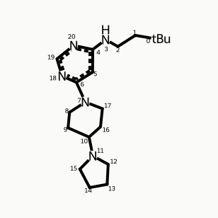 CC(C)(C)CCNc1cc(N2CCC(N3CCCC3)CC2)ncn1